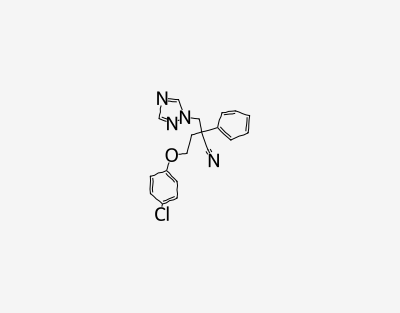 N#CC(CCOc1ccc(Cl)cc1)(Cn1cncn1)c1ccccc1